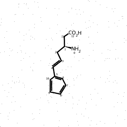 N[C@@H](C/C=C/c1ccccc1)CC(=O)O